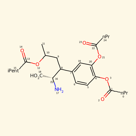 CCCC(=O)Oc1ccc(C(CC(C)OC(=O)C(C)CCC)[C@H](N)C(=O)O)cc1OC(=O)CCC